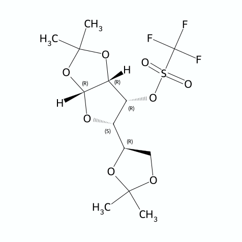 CC1(C)O[C@H]2O[C@@H]([C@H]3COC(C)(C)O3)[C@@H](OS(=O)(=O)C(F)(F)F)[C@H]2O1